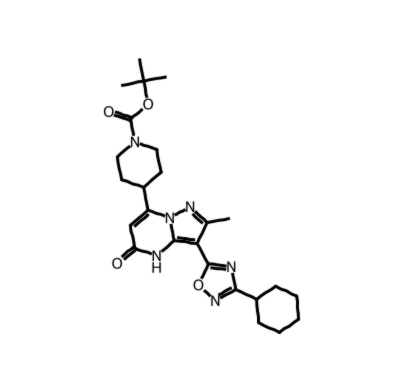 Cc1nn2c(C3CCN(C(=O)OC(C)(C)C)CC3)cc(=O)[nH]c2c1-c1nc(C2CCCCC2)no1